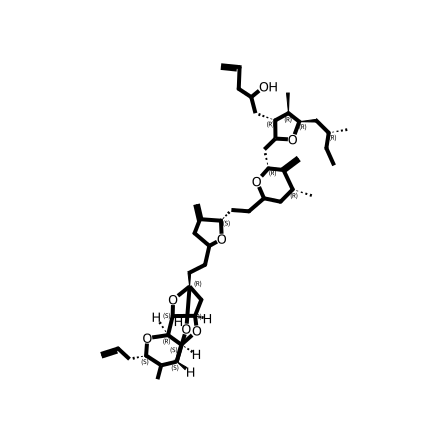 C=CCC(O)C[C@H]1C(C[C@H]2OC(CC[C@@H]3OC(CC[C@@]45C[C@H]6O[C@@H]7[C@@H](O[C@@H](CC=C)C(C)[C@@H]7O4)[C@H]6O5)CC3=C)C[C@@H](C)C2=C)O[C@H](C[C@H](C)CC)[C@@H]1C